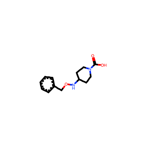 O=C(O)N1CCC(NOCc2ccccc2)CC1